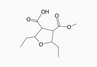 CCC1OC(CC)C(C(=O)OC)C1C(=O)O